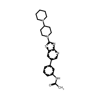 CC(=O)Nc1cccc(-c2cnc3nc(N4CCC(N5CCCCC5)CC4)sc3c2)c1